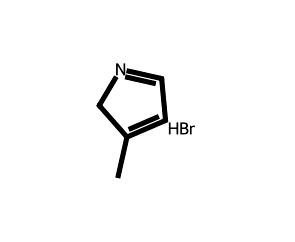 Br.CC1=CC=NC1